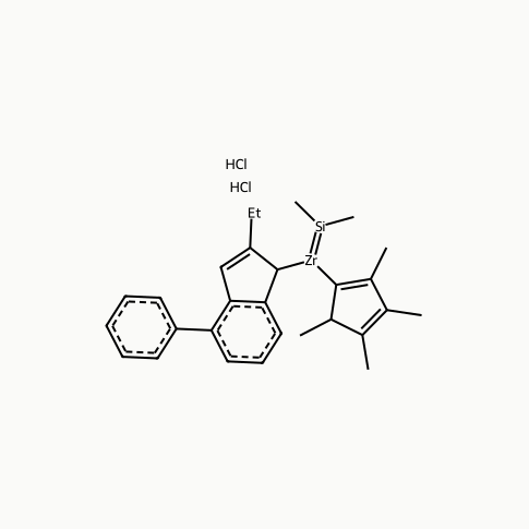 CCC1=Cc2c(-c3ccccc3)cccc2[CH]1[Zr]([C]1=C(C)C(C)=C(C)C1C)=[Si](C)C.Cl.Cl